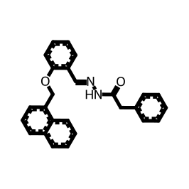 O=C(Cc1ccccc1)N/N=C/c1ccccc1OCc1cccc2ccccc12